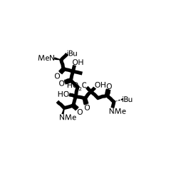 CCC(C)[C@H](NC)C(=O)CC(O)(C(=O)O)C(=O)C(O)(CC(=O)C(C)(O)C(=O)[C@@H](NC)C(C)CC)C(=O)[C@H](C)NC